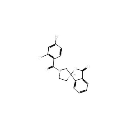 O=C1O[C@]2(CCN(C(=O)c3ccc(Br)cc3Cl)C2)c2ccccc21